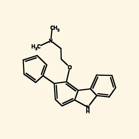 CN(C)CCOc1c(-c2ccccc2)ccc2[nH]c3ccccc3c12